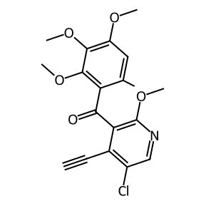 C#Cc1c(Cl)cnc(OC)c1C(=O)c1c(C)cc(OC)c(OC)c1OC